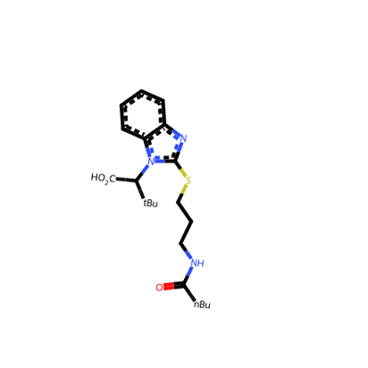 CCCCC(=O)NCCCSc1nc2ccccc2n1C(C(=O)O)C(C)(C)C